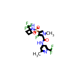 Cc1cc(NC(=O)c2c(F)c(S(=O)(=O)NC3(C(F)(F)F)CCC3)cn2C)cc(C(F)F)n1